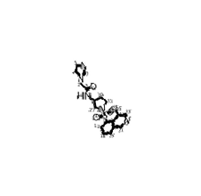 O=C(Cn1ccnc1)NC1CCN(S(=O)(=O)c2cccc3cncc(Cl)c23)C1